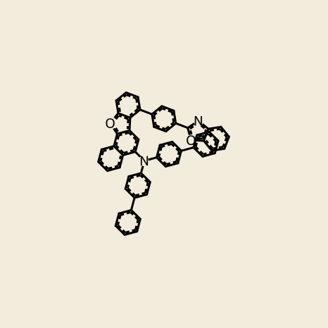 c1ccc(-c2ccc(N(c3ccc(-c4ccccc4)cc3)c3cc4c(oc5cccc(-c6ccc(-c7nc8ccccc8o7)cc6)c54)c4ccccc34)cc2)cc1